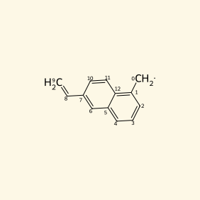 [CH2]c1cccc2cc(C=C)ccc12